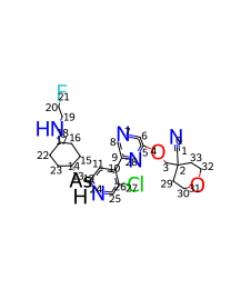 N#CC1(COc2cncc(-c3cc([AsH][C@H]4CC[C@H](NCCF)CC4)ncc3Cl)n2)CCOCC1